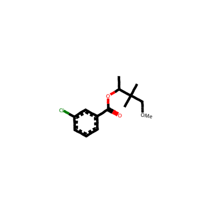 COCC(C)(C)C(C)OC(=O)c1cccc(Cl)c1